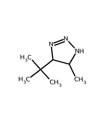 CC1NN=NC1C(C)(C)C